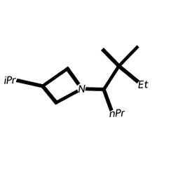 CCCC(N1CC(C(C)C)C1)C(C)(C)CC